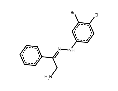 NCC(=NNc1ccc(Cl)c(Br)c1)c1ccccc1